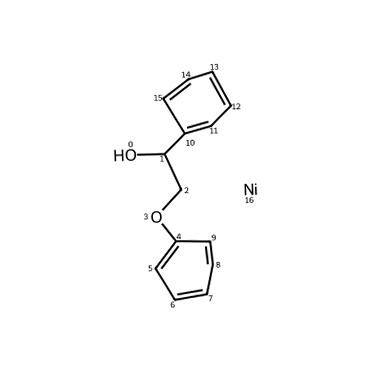 OC(COc1ccccc1)c1ccccc1.[Ni]